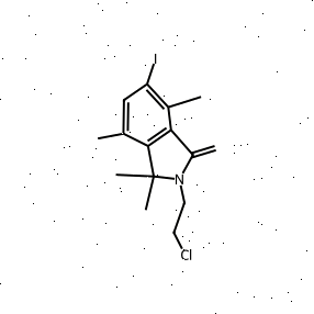 C=C1c2c(C)c(I)cc(C)c2C(C)(C)N1CCCl